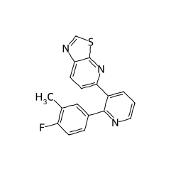 Cc1cc(-c2ncccc2-c2ccc3ncsc3n2)ccc1F